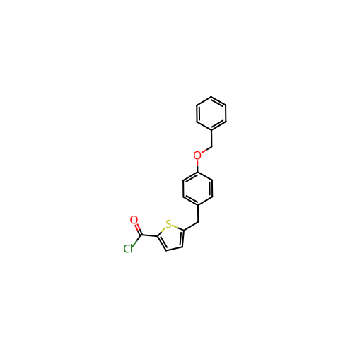 O=C(Cl)c1ccc(Cc2ccc(OCc3ccccc3)cc2)s1